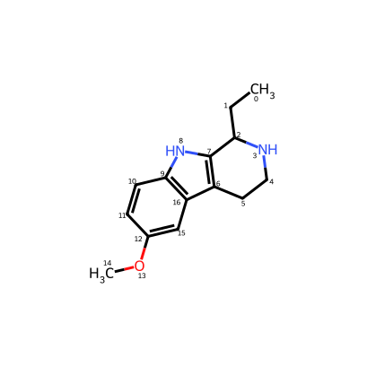 CCC1NCCc2c1[nH]c1ccc(OC)cc21